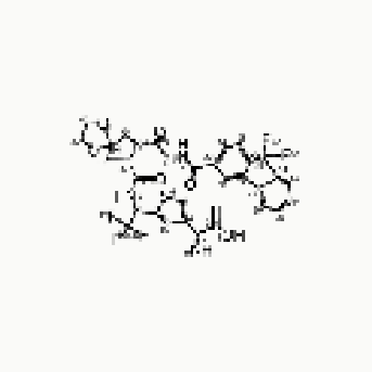 N=C(NO)c1csc(C(NC(=O)[C@@H]2CC3(CN2C(=O)CNC(=O)c2ccc4c(c2)-c2ccccc2C4(F)F)OCCO3)C(F)(F)F)c1